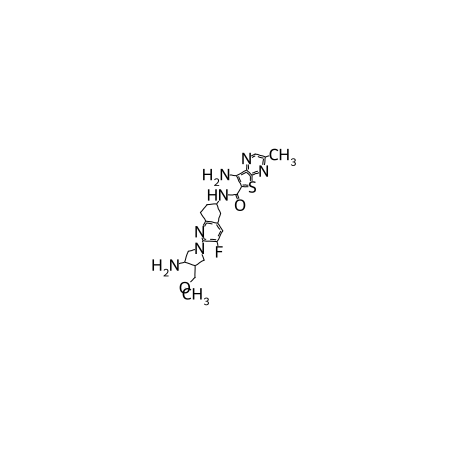 COCC1CN(c2nc3c(cc2F)CC(NC(=O)c2sc4nc(C)cnc4c2N)CC3)CC1N